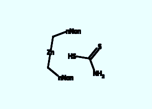 CCCCCCCCC[CH2][Zn][CH2]CCCCCCCCC.NC(=S)S